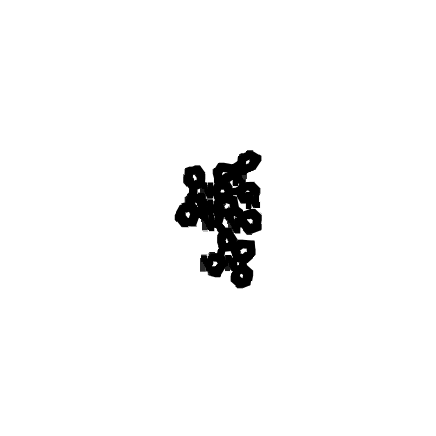 c1ccc(-c2nc(-c3cc(-c4cnccc4-n4c5ccccc5c5ccccc54)ccc3-n3c4ccccc4c4ccccc43)cc(-c3cc(-c4cnccc4-n4c5ccccc5c5ccccc54)ccc3-n3c4ccccc4c4ccccc43)n2)cc1